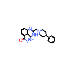 O=C1NNC2NC(CN3CCC(c4ccccc4)CC3)=Nc3cccc1c32